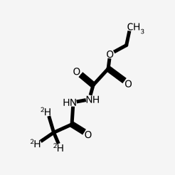 [2H]C([2H])([2H])C(=O)NNC(=O)C(=O)OCC